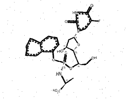 C[C@H](N[P@@](=O)(Oc1cccc2ccccc12)O[C@H](CO)[C@H]1O[C@@H](n2cc(F)c(=O)[nH]c2=O)C[C@@H]1O)C(=O)O